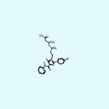 Cc1c(C(=O)Nc2ccccc2)nc(-c2ccc(F)cc2)n1CCC(O)CC(O)CC(=O)O